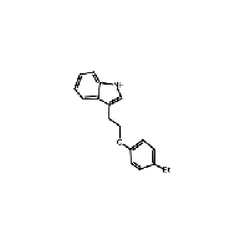 CCc1ccc(OCCc2c[nH]c3ccccc23)cc1